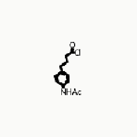 CC(=O)Nc1ccc(CCCC(=O)Cl)cc1